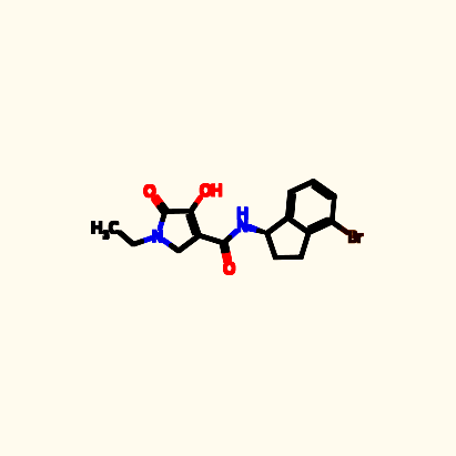 CCN1CC(C(=O)N[C@@H]2CCc3c(Br)cccc32)=C(O)C1=O